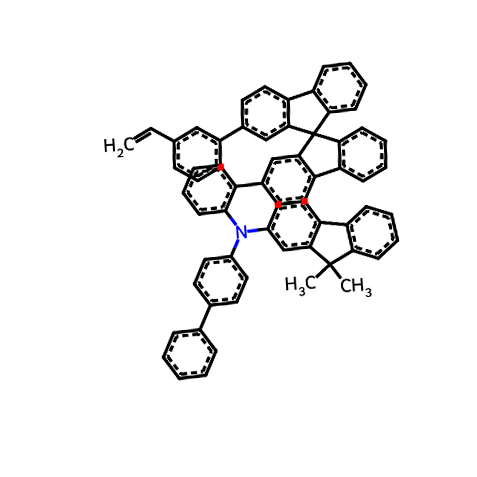 C=Cc1cccc(-c2ccc3c(c2)C2(c4ccccc4-3)c3ccccc3-c3ccc(-c4ccccc4N(c4ccc(-c5ccccc5)cc4)c4ccc5c(c4)C(C)(C)c4ccccc4-5)cc32)c1